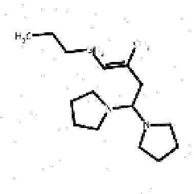 CCC[SiH2]C=C(C)CC(N1CCCC1)N1CCCC1